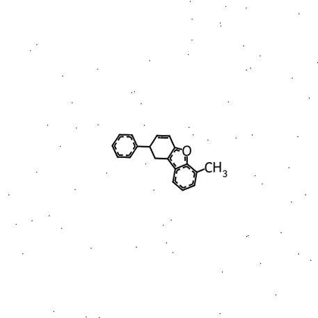 Cc1cccc2c3c(oc12)C=CC(c1ccccc1)C3